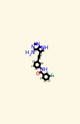 Nc1ncnc2[nH]cc(C#Cc3cccc(NC(=O)c4cccc(F)c4)c3)c12